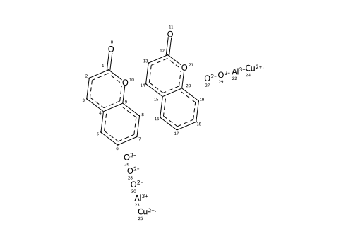 O=c1ccc2ccccc2o1.O=c1ccc2ccccc2o1.[Al+3].[Al+3].[Cu+2].[Cu+2].[O-2].[O-2].[O-2].[O-2].[O-2]